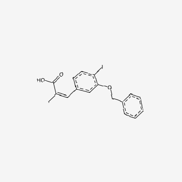 CC(=Cc1ccc(I)c(OCc2ccccc2)c1)C(=O)O